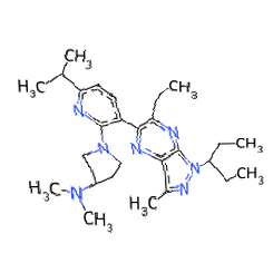 CCc1nc2c(nc1-c1ccc(C(C)C)nc1N1CCC(N(C)C)C1)c(C)nn2C(CC)CC